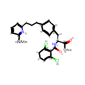 CNc1cccc(CCCc2ccc(C[C@H](NC(=O)C3=C(Cl)CCC=C3Cl)C(=O)OC)cc2)n1